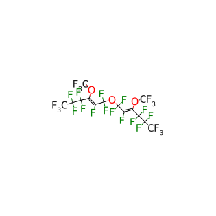 FC(=C(OC(F)(F)F)C(F)(F)C(F)(F)C(F)(F)F)C(F)(F)OC(F)(F)C(F)=C(OC(F)(F)F)C(F)(F)C(F)(F)C(F)(F)F